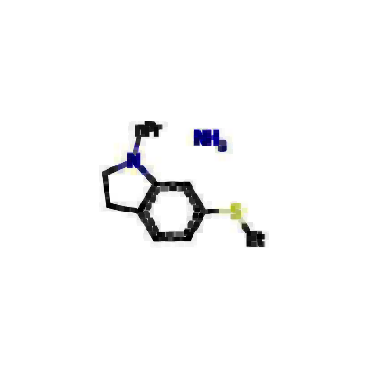 CCCN1CCc2ccc(SCC)cc21.N